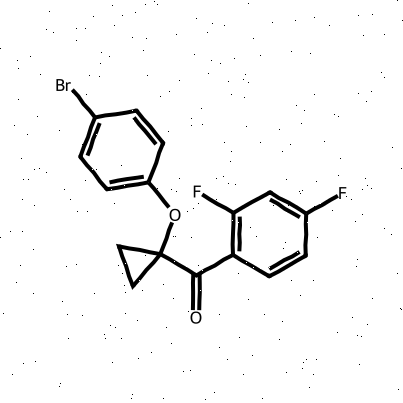 O=C(c1ccc(F)cc1F)C1(Oc2ccc(Br)cc2)CC1